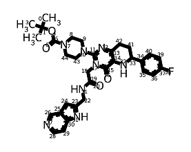 CC(C)(C)OC(=O)N1CCN(c2nc3c(c(=O)n2CC(=O)NCc2cc4cnccc4[nH]2)NC(c2ccc(F)cc2)CC3)CC1